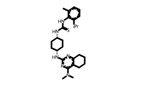 Cc1cccc(C(C)C)c1NC(=S)N[C@H]1CC[C@@H](Nc2nc3c(c(N(C)C)n2)CCCC3)CC1